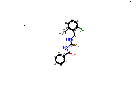 O=C(NC(=S)NCc1c(Cl)cccc1[N+](=O)[O-])c1ccccc1